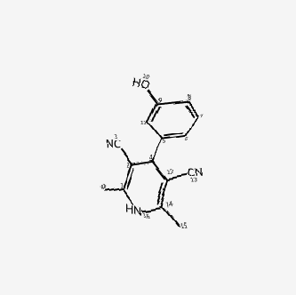 CC1=C(C#N)C(c2cccc(O)c2)C(C#N)=C(C)N1